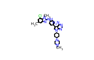 Cc1cc(Cl)c2c(c1)nc(Nc1ccc(-c3cn([C@H]4CC[C@H](N5CCN(C)CC5)CC4)c4ncnc(N)c34)cc1)n2C